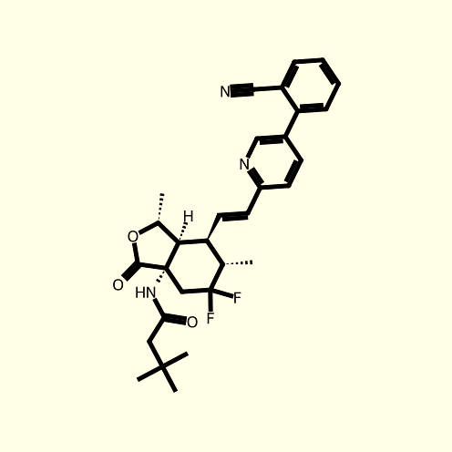 C[C@H]1OC(=O)[C@]2(NC(=O)CC(C)(C)C)CC(F)(F)[C@@H](C)[C@H](/C=C/c3ccc(-c4ccccc4C#N)cn3)[C@H]12